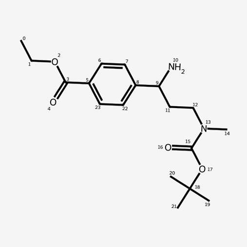 CCOC(=O)c1ccc(C(N)CCN(C)C(=O)OC(C)(C)C)cc1